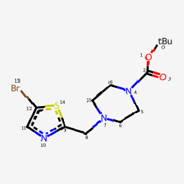 CC(C)(C)OC(=O)N1CCN(Cc2ncc(Br)s2)CC1